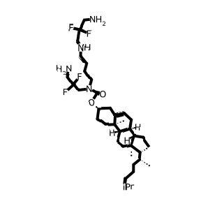 CC(C)CCC[C@@H](C)[C@H]1CC[C@H]2[C@@H]3CC=C4C[C@@H](OC(=O)N(CCCCNCC(F)(F)CN)CC(F)(F)CN)CC[C@]4(C)[C@H]3CC[C@]12C